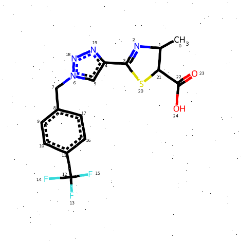 CC1N=C(c2cn(Cc3ccc(C(F)(F)F)cc3)nn2)SC1C(=O)O